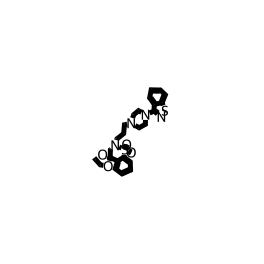 O=S1(=O)c2ccccc2C2(CN1CCCN1CCN(c3nsc4ccccc34)CC1)OCCO2